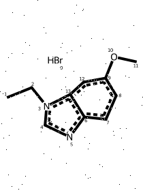 Br.CCn1cnc2ccc(OC)cc21